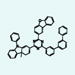 CC12CC=C(c3nc(-c4cccc(-c5cccc(-c6ccccc6)c5)c4)nc(-c4ccc5oc6ccccc6c5c4)n3)C=C1N(c1ccccc1)c1ccccc12